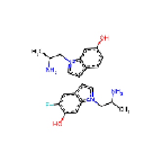 CC(N)Cn1ccc2cc(F)c(O)cc21.C[C@H](N)Cn1ccc2ccc(O)cc21